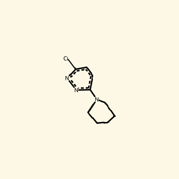 Clc1ccc(N2CC[CH]CC2)nn1